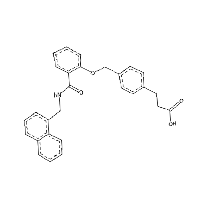 O=C(O)CCc1ccc(COc2ccccc2C(=O)NCc2cccc3ccccc23)cc1